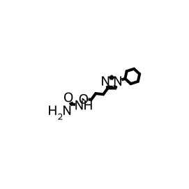 NC(=O)NOCCCc1cn(C2CCCCC2)cn1